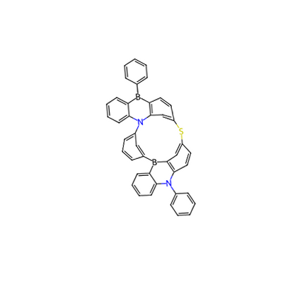 c1ccc(B2c3ccccc3N3c4cccc(c4)B4c5ccccc5N(c5ccccc5)c5ccc(cc54)Sc4ccc2c3c4)cc1